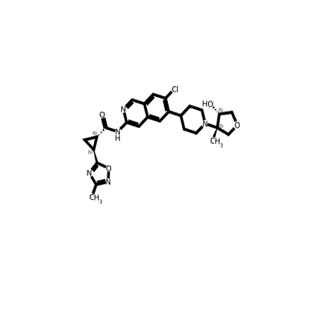 Cc1noc([C@H]2C[C@@H]2C(=O)Nc2cc3cc(C4CCN([C@@]5(C)COC[C@H]5O)CC4)c(Cl)cc3cn2)n1